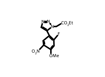 CCOC(=O)Cn1nncc1-c1cc([N+](=O)[O-])c(OC)cc1F